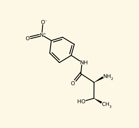 C[C@@H](O)[C@H](N)C(=O)Nc1ccc([N+](=O)[O-])cc1